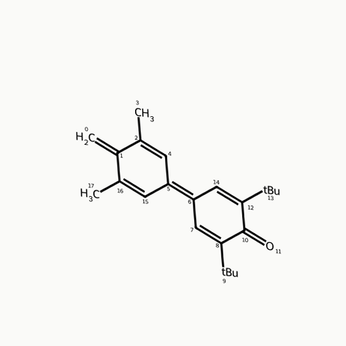 C=c1c(C)cc(=C2C=C(C(C)(C)C)C(=O)C(C(C)(C)C)=C2)cc1C